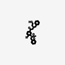 CS(=O)(=O)N(Cc1ccccc1)c1cc(C(=O)CN(CCO)Cc2ccccc2)ccc1Br